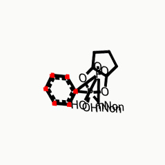 CCCCCCCCCP1(O)(c2ccccc2)OC23CCCC2(O1)OP(O)(CCCCCCCCC)(c1ccccc1)O3